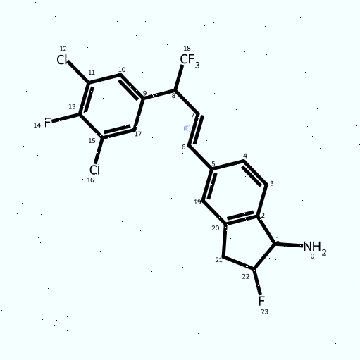 NC1c2ccc(/C=C/C(c3cc(Cl)c(F)c(Cl)c3)C(F)(F)F)cc2CC1F